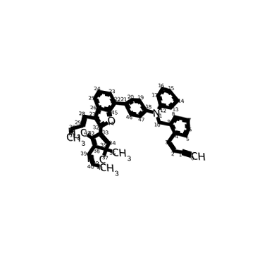 C#C/C=C\c1ccccc1CN(c1ccccc1)c1ccc(-c2cccc3c(/C=C/CC)c(C4=CC(C)(C)C(/C=C\C)=C4C)oc23)cc1